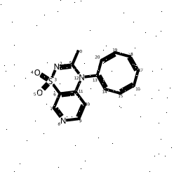 CC1=NS(=O)(=O)c2cnccc2N1C1=CC=CC=CC=C1